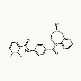 CCN1CCN(C(=O)c2ccc(NC(=O)c3cccc(C)c3C)cc2)c2ccccc2C1